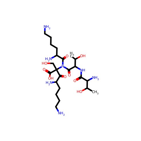 CC(O)C(N)C(=O)NC(C(=O)N(C(=O)C(N)CCCCN)C(CO)(C(=O)O)C(=O)C(N)CCCCN)C(C)O